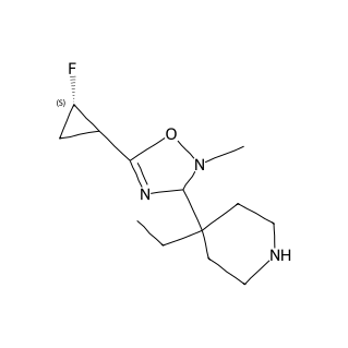 CCC1(C2N=C(C3C[C@@H]3F)ON2C)CCNCC1